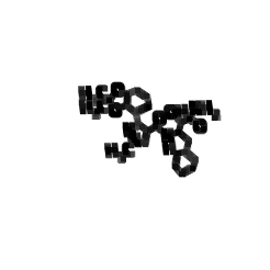 Cn1cc(C(=O)NC(Cc2ccccc2)C(O)C(N)=O)c(-c2cccc3c2OC(C)(C)O3)n1